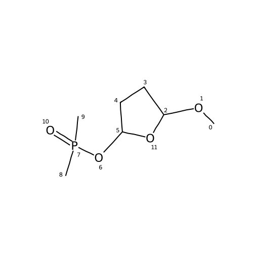 COC1CCC(OP(C)(C)=O)O1